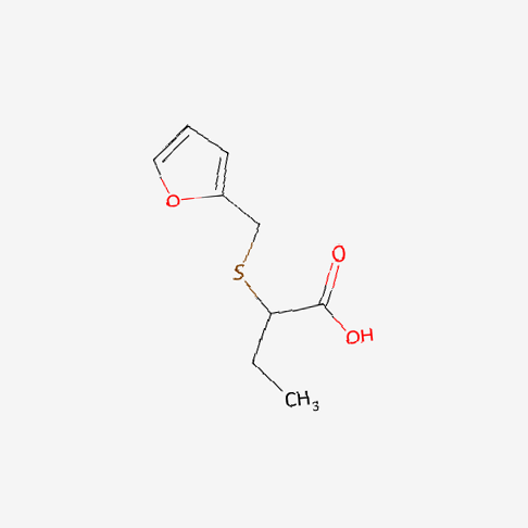 CCC(SCc1ccco1)C(=O)O